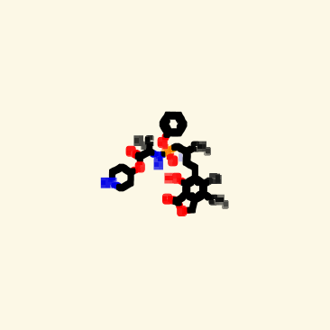 CCc1c(C)c2c(c(O)c1C/C=C(\C)CP(=O)(NC(C)C(=O)OC1CCNCC1)Oc1ccccc1)C(=O)OC2